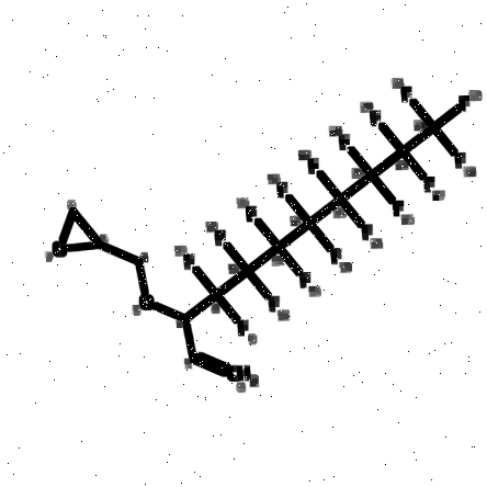 C=CC(OCC1CO1)C(F)(F)C(F)(F)C(F)(F)C(F)(F)C(F)(F)C(F)(F)C(F)(F)C(F)(F)F